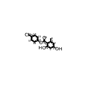 Cc1cc(O)cc(O)c1C(=O)Oc1ccc(Cl)cc1